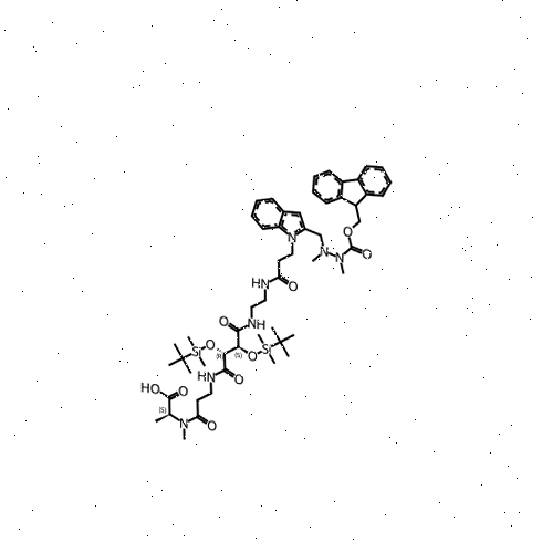 C[C@@H](C(=O)O)N(C)C(=O)CCNC(=O)[C@H](O[Si](C)(C)C(C)(C)C)[C@H](O[Si](C)(C)C(C)(C)C)C(=O)NCCNC(=O)CCn1c(CN(C)N(C)C(=O)OCC2c3ccccc3-c3ccccc32)cc2ccccc21